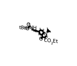 CCOC(=O)c1cn(C2CC2)c2ccc(C#CCNC(=O)OC(C)(C)C)cc2c1=O